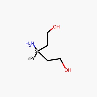 CCC[Si](N)(CCO)CCO